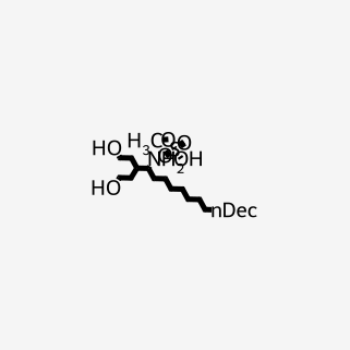 CCCCCCCCCCCCCCCCCC(N)C(CCO)CCO.COS(=O)(=O)O